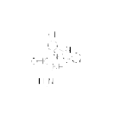 Cc1cc2nc3c4cc(Cl)ccc4n(C(C=O)NCCN)c3nc2cc1C